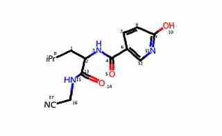 CC(C)CC(NC(=O)c1ccc(O)nc1)C(=O)NCC#N